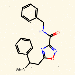 CNC(Cc1nc(C(=O)NCc2ccccc2)no1)c1ccccc1